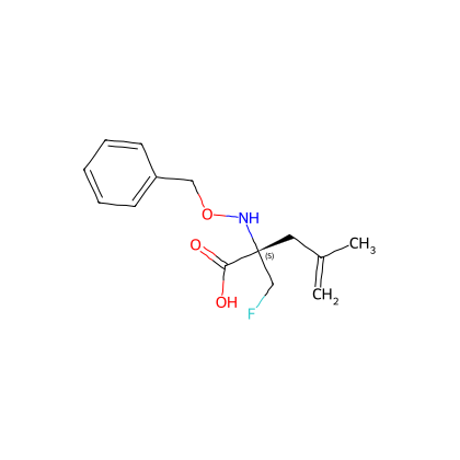 C=C(C)C[C@](CF)(NOCc1ccccc1)C(=O)O